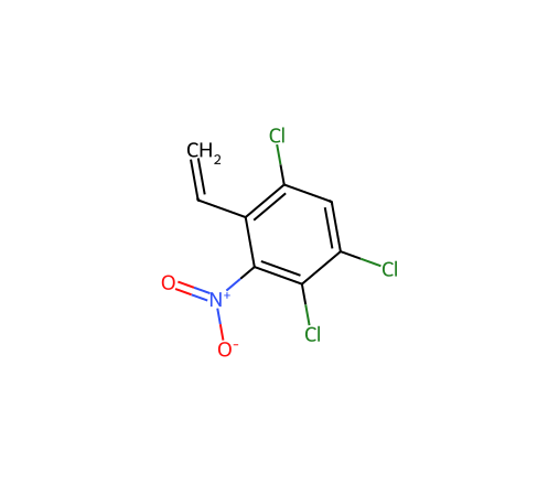 C=Cc1c(Cl)cc(Cl)c(Cl)c1[N+](=O)[O-]